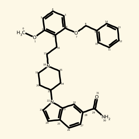 COc1cccc(OCc2ccccc2)c1CCN1CCC(n2ccc3ccc(C(N)=O)cc32)CC1